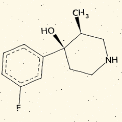 C[C@H]1CNCC[C@]1(O)c1cccc(F)c1